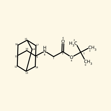 CC(C)(C)OC(=O)CNC12CC3CC(CC(C3)C1)C2